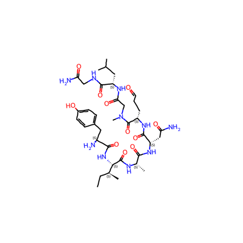 CC[C@H](C)[C@H](NC(=O)[C@@H](N)Cc1ccc(O)cc1)C(=O)N[C@@H](C)C(=O)N[C@@H](CC(N)=O)C(=O)N[C@@H](CCC=O)C(=O)N(C)CC(=O)N[C@@H](CC(C)C)C(=O)NCC(N)=O